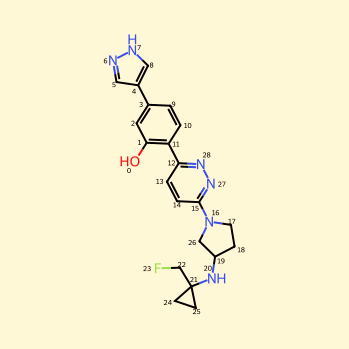 Oc1cc(-c2cn[nH]c2)ccc1-c1ccc(N2CCC(NC3(CF)CC3)C2)nn1